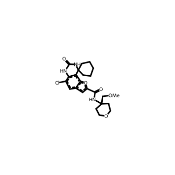 COCC1(NC(=O)c2cc3cc(Cl)c4c(c3o2)C2(CCCCC2)NC(=O)N4)CCOCC1